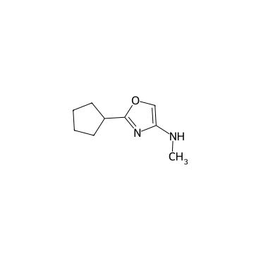 CNc1coc(C2CCCC2)n1